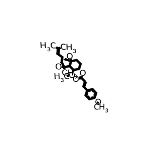 COc1ccc(C=CC(=O)OC2CCC3(CO3)C(C3(C)OC3CC=C(C)C)C2OC)cc1